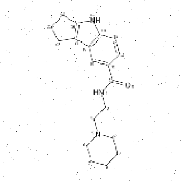 O=C(NCCN1CCCCC1)c1ccc2[nH]c3c(c2c1)CCC3